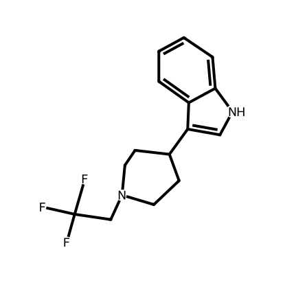 FC(F)(F)CN1CCC(c2c[nH]c3ccccc23)CC1